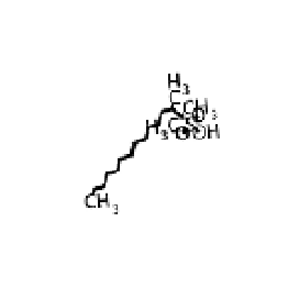 CCCCCCCCCCCCC(C)C(C)(C)S(=O)(=O)O